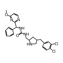 COc1ccnc(C(NC(=O)NCC2CC(Cc3ccc(Cl)c(Cl)c3)CN2)c2ccccc2)n1